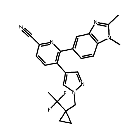 Cc1nc2cc(-c3nc(C#N)ccc3-c3cnn(CC4(C(C)(F)F)CC4)c3)ccc2n1C